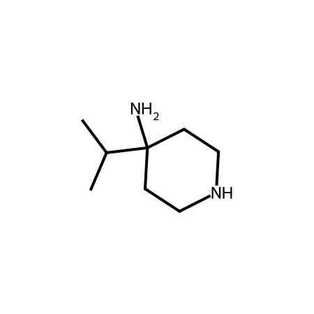 CC(C)C1(N)CCNCC1